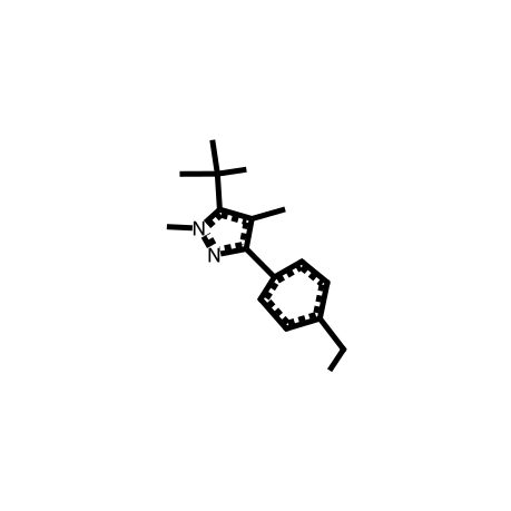 CCc1ccc(-c2nn(C)c(C(C)(C)C)c2C)cc1